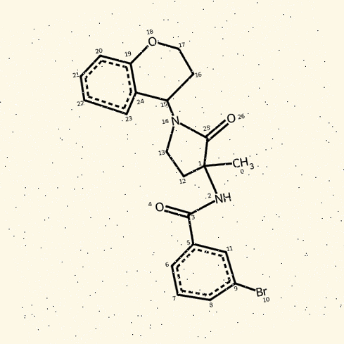 CC1(NC(=O)c2cccc(Br)c2)CCN(C2CCOc3ccccc32)C1=O